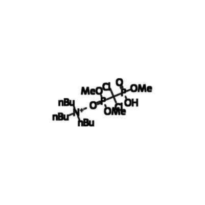 CCCC[N+](C)(CCCC)CCCC.COP(=O)(O)C(Cl)(Cl)P(=O)(OC)OC